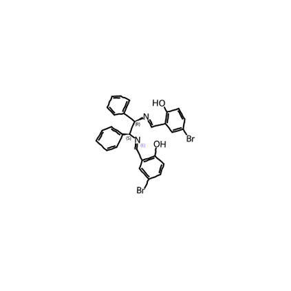 Oc1ccc(Br)cc1C=N[C@H](c1ccccc1)[C@@H](/N=C/c1cc(Br)ccc1O)c1ccccc1